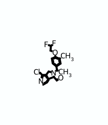 Cc1cc(C(C)N2Cc3c(ccnc3Cl)C2C=O)ccc1OCC(F)F